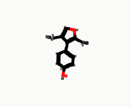 O=Cc1occ(S(=O)(=O)O)c1-c1ccc(O)cc1